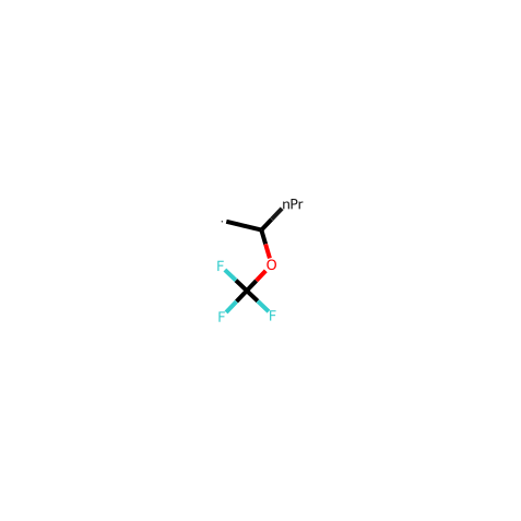 [CH2]C(CCC)OC(F)(F)F